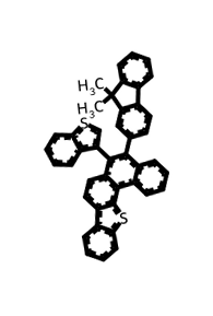 CC1(C)c2ccccc2-c2ccc(-c3c(-c4csc5ccccc45)c4ccc5c6ccccc6sc5c4c4ccccc34)cc21